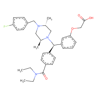 CCN(CC)C(=O)c1ccc([C@H](c2cccc(OCC(=O)O)c2)N2C[C@@H](C)N(Cc3ccc(F)cc3)C[C@@H]2C)cc1